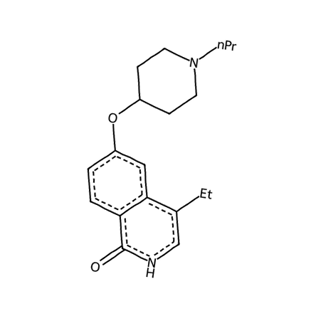 CCCN1CCC(Oc2ccc3c(=O)[nH]cc(CC)c3c2)CC1